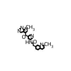 Cc1ccc2ccc(CC(=O)Nc3cncc(C(=O)c4cn(C)c5ncncc45)c3)cc2n1